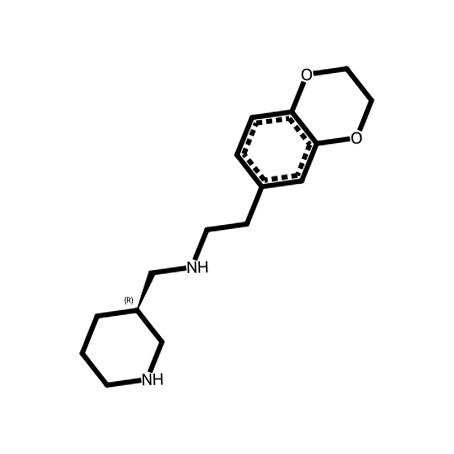 c1cc2c(cc1CCNC[C@@H]1CCCNC1)OCCO2